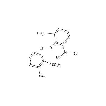 CC(=O)Oc1ccccc1C(=O)O.CCOc1c(C(=O)O)cccc1N(CC)CC